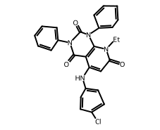 CCn1c(=O)cc(Nc2ccc(Cl)cc2)c2c(=O)n(-c3ccccc3)c(=O)n(-c3ccccc3)c21